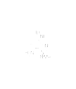 CCNc1ccc(N)c2c1ncn2NC